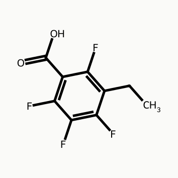 CCc1c(F)c(F)c(F)c(C(=O)O)c1F